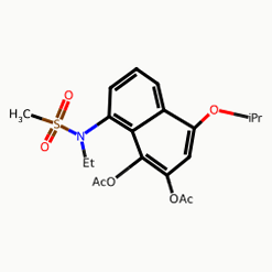 CCN(c1cccc2c(OC(C)C)cc(OC(C)=O)c(OC(C)=O)c12)S(C)(=O)=O